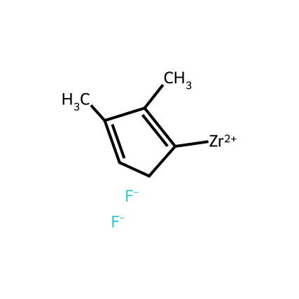 CC1=CC[C]([Zr+2])=C1C.[F-].[F-]